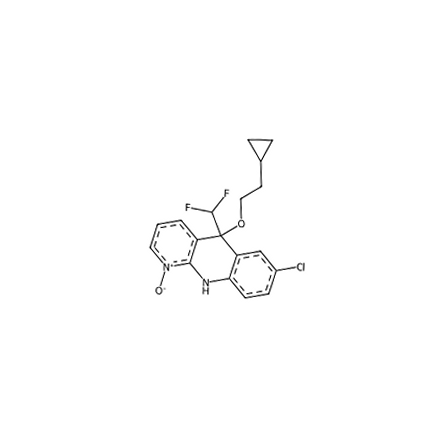 [O-][n+]1cccc2c1Nc1ccc(Cl)cc1C2(OCCC1CC1)C(F)F